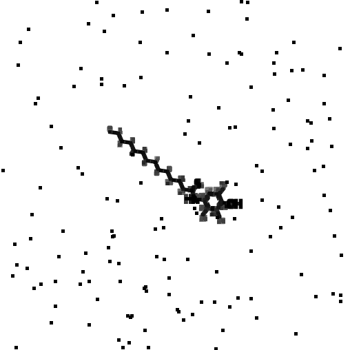 CCCCCCCCCCCCCC(=S)Nc1cc(C)c(O)c(C)c1C